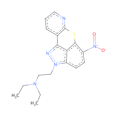 CCN(CC)CCn1nc2c3c(c([N+](=O)[O-])ccc31)Sc1ncccc1-2